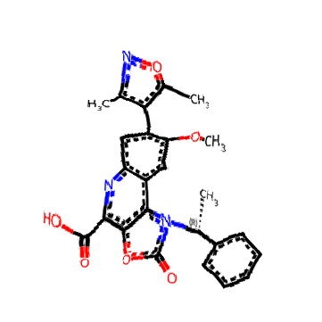 COc1cc2c(cc1-c1c(C)noc1C)nc(C(=O)O)c1oc(=O)n([C@H](C)c3ccccc3)c12